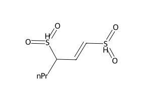 CCCC(C=C[SH](=O)=O)[SH](=O)=O